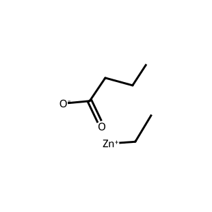 CCCC(=O)[O-].C[CH2][Zn+]